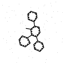 Cc1c(-c2ccccc2)ccc(-c2ccccc2)c1-c1ccccc1